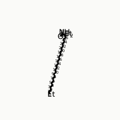 CC/C=C/C=C/C=C/C=C/CCC/C=C/CCCCCCCCCCCCCC(CC)C(N)=O